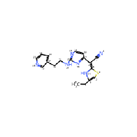 CCC1=CS/C(=C(\C#N)c2ccnc(NCCc3cccnc3)n2)N1